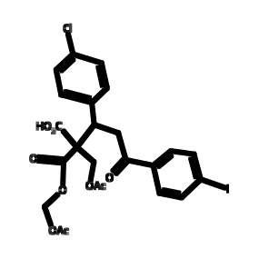 CC(=O)OCOC(=O)C(COC(C)=O)(C(=O)O)C(CC(=O)c1ccc(I)cc1)c1ccc(Cl)cc1